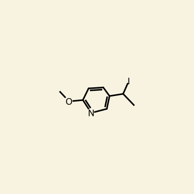 COc1ccc(C(C)I)cn1